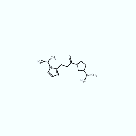 CC(C)n1ccnc1CCC(=O)N1CCC(N(C)C)C1